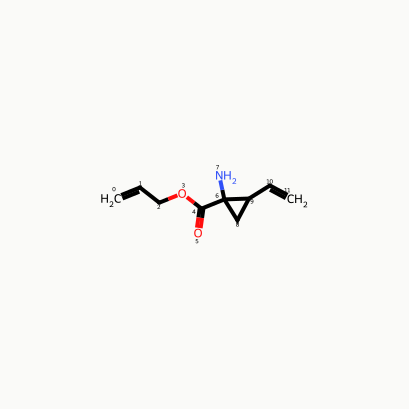 C=CCOC(=O)C1(N)CC1C=C